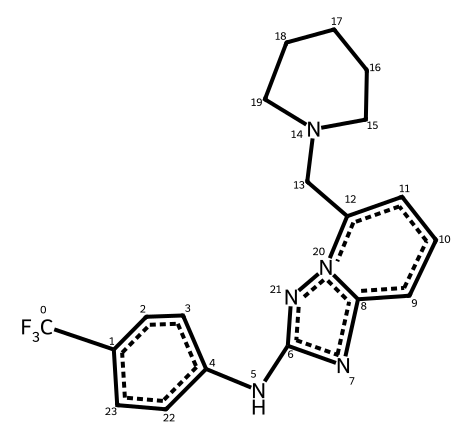 FC(F)(F)c1ccc(Nc2nc3cccc(CN4CCCCC4)n3n2)cc1